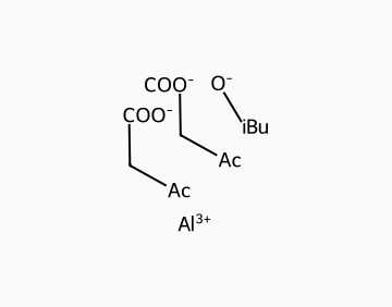 CC(=O)CC(=O)[O-].CC(=O)CC(=O)[O-].CCC(C)[O-].[Al+3]